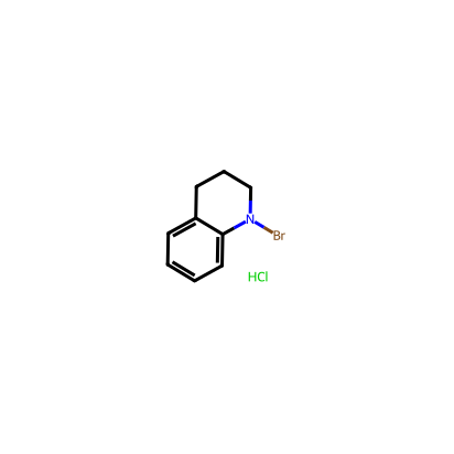 BrN1CCCc2ccccc21.Cl